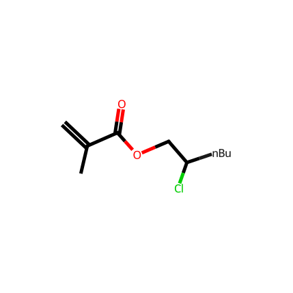 C=C(C)C(=O)OCC(Cl)CCCC